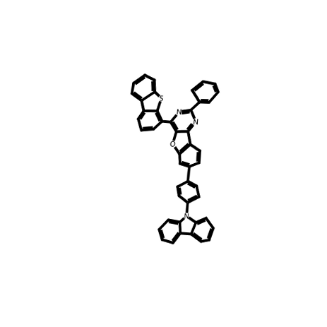 c1ccc(-c2nc(-c3cccc4c3sc3ccccc34)c3oc4cc(-c5ccc(-n6c7ccccc7c7ccccc76)cc5)ccc4c3n2)cc1